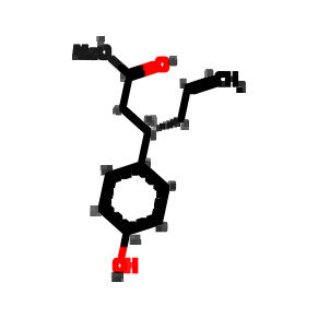 C=CC[C@@H](CC(=O)OC)c1ccc(O)cc1